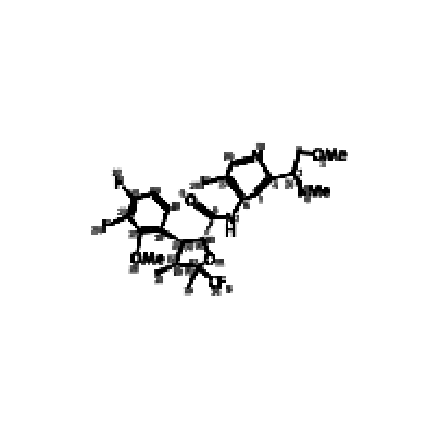 CN[C@H](COC)c1cc(NC(=O)[C@@H]2O[C@@](C)(C(F)(F)F)[C@@H](C)[C@H]2c2ccc(F)c(F)c2OC)c(F)cn1